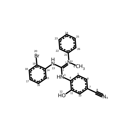 C[N+](=C(Nc1ccc(C#N)cc1O)Nc1ccccc1Br)c1ccccc1